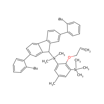 C=CCOc1c([Si](C)(C)C)cc(C)cc1[Si](C)(C)C1c2cc(-c3ccccc3C(C)CC)ccc2-c2ccc(-c3ccccc3C(C)CC)cc21